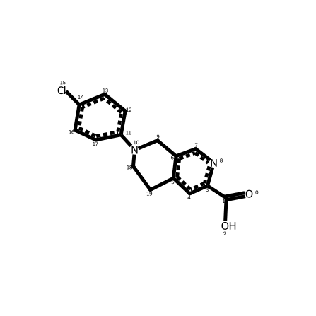 O=C(O)c1cc2c(cn1)CN(c1ccc(Cl)cc1)CC2